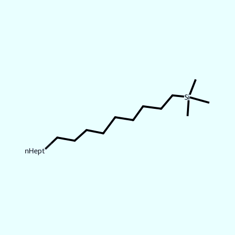 CCCCCCCCCCCCCCCC[Si](C)(C)C